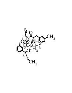 C=CCOC(=O)c1cccc(COC[C@H](C#N)N(C(=O)OC(C)(C)C)C(=O)[C@@H](N)Cc2cccc(C)c2)c1